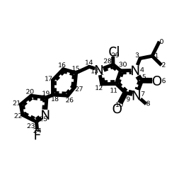 CC(C)Cn1c(=O)n(C)c(=O)c2cn(Cc3ccc(-c4cccc(F)n4)cc3)c(Cl)c21